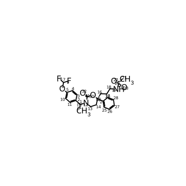 C[C@@H](c1ccc(OC(F)F)cc1)N1CC[C@@](CCCNS(C)(=O)=O)(c2ccccc2)OC1=O